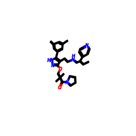 CCC(CNCCc1c(OCC(C)(C)C(=O)N2CCCC2)n[nH]c1-c1cc(C)cc(C)c1)c1ccncc1